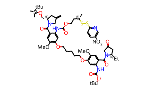 C=C1C[C@@H](CO[Si](C)(C)C(C)(C)C)N(C(=O)c2cc(OC)c(OCCCCCOc3cc(NC(=O)OC(C)(C)C)c(C(=O)N4CC(=O)C[C@H]4CC)cc3OC)cc2NC(=O)OCC[C@@H](C)SSc2ccc([N+](=O)[O-])cn2)C1